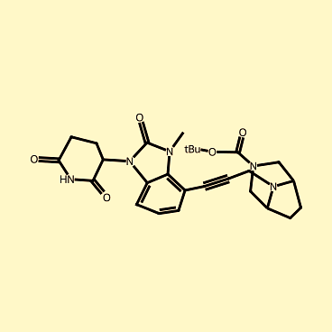 Cn1c(=O)n(C2CCC(=O)NC2=O)c2cccc(C#CCN3C4CCC3CN(C(=O)OC(C)(C)C)C4)c21